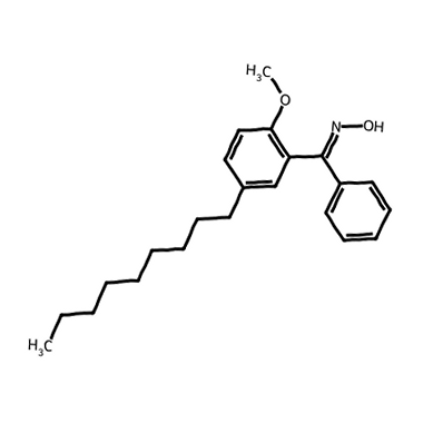 CCCCCCCCCc1ccc(OC)c(C(=NO)c2ccccc2)c1